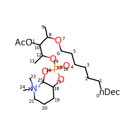 CCCCCCCCCCCCCCCCOC(C)C(OC(C)=O)C(C)OP1(=O)OC2CCC[N+](C)(C)C2O1